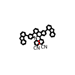 N#Cc1ccc(C2c3ccc(-c4cccc5c4-c4ccccc4C5)cc3-c3cccc4c3C2N(c2ccc(C#N)cc2)c2ccc(-c3cccc5c3-c3ccccc3C5)cc2-4)cc1